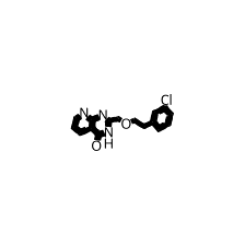 O=c1[nH]c(COCCc2cccc(Cl)c2)nc2ncccc12